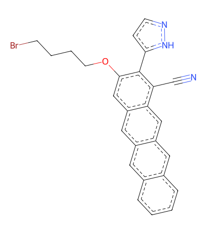 N#Cc1c(-c2ccn[nH]2)c(OCCCCBr)cc2cc3cc4ccccc4cc3cc12